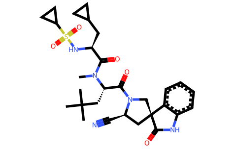 CN(C(=O)[C@H](CC1CC1)NS(=O)(=O)C1CC1)[C@@H](CC(C)(C)C)C(=O)N1C[C@]2(C[C@H]1C#N)C(=O)Nc1ccccc12